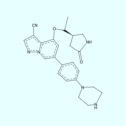 CC(Oc1cc(-c2ccc(N3CCNCC3)cc2)cn2ncc(C#N)c12)[C@H]1CNC(=O)C1